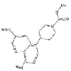 COc1ccc(C2CCN(C(=O)OC(C)(C)C)CC2)c2cc(C(=O)O)ncc12